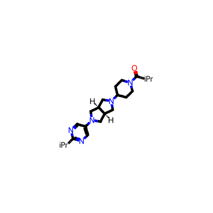 CC(C)C(=O)N1CCC(N2C[C@H]3CN(c4cnc(C(C)C)nc4)C[C@H]3C2)CC1